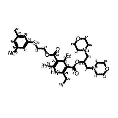 CCC1C(C(=O)OC(CN2CCOCC2)CN2CCOCC2)=C(CI)NC(C(C)C)=C1C(=O)OCCSc1cc(C)cc(C#N)c1